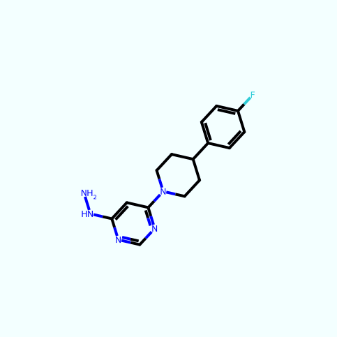 NNc1cc(N2CCC(c3ccc(F)cc3)CC2)ncn1